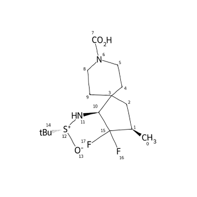 C[C@@H]1CC2(CCN(C(=O)O)CC2)[C@H](N[S@+]([O-])C(C)(C)C)C1(F)F